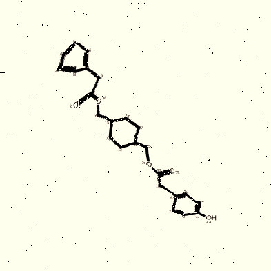 O=C(Cc1ccccc1)OCC1CCC(COC(=O)Cc2ccc(O)cc2)CC1